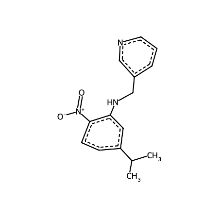 CC(C)c1ccc([N+](=O)[O-])c(NCc2cccnc2)c1